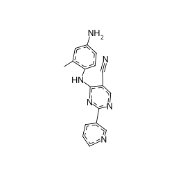 Cc1cc(N)ccc1Nc1nc(-c2cccnc2)ncc1C#N